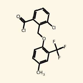 Cc1ccc(OCc2c(Cl)cccc2C(=O)Cl)c(C(F)(F)F)c1